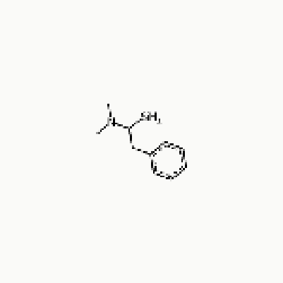 CN(C)C([SiH3])Cc1ccccc1